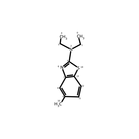 CCN(CC)c1nc2cc(C)ccc2s1